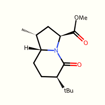 COC(=O)[C@@H]1C[C@@H](C)[C@H]2CC[C@H](C(C)(C)C)C(=O)N21